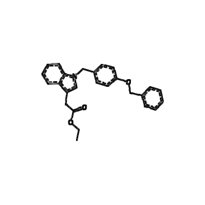 CCOC(=O)Cc1cn(Cc2ccc(OCc3ccccc3)cc2)c2ccccc12